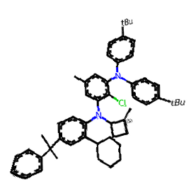 Cc1cc(N(c2ccc(C(C)(C)C)cc2)c2ccc(C(C)(C)C)cc2)c(Cl)c(N(c2ccc(C(C)(C)c3ccccc3)cc2C2CCCCC2)C2CC[C@@H]2C)c1